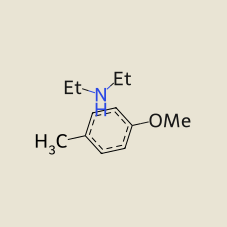 CCNCC.COc1ccc(C)cc1